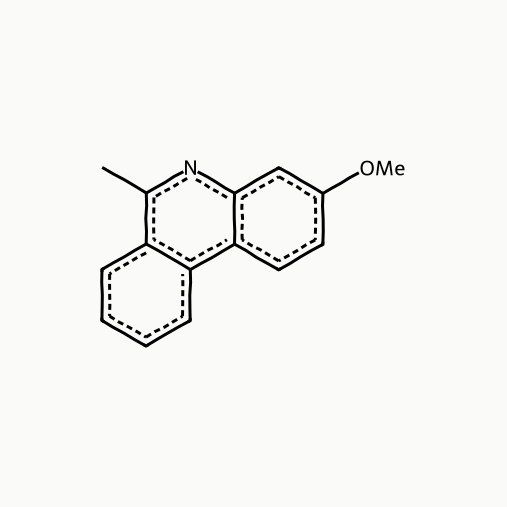 COc1ccc2c(c1)nc(C)c1ccccc12